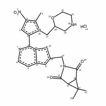 Cc1c([N+](=O)[O-])cc(-c2nccc3cc(CN4C(=O)C5C(C4=O)C5(C)C)sc23)n1CC1CNCCO1.Cl